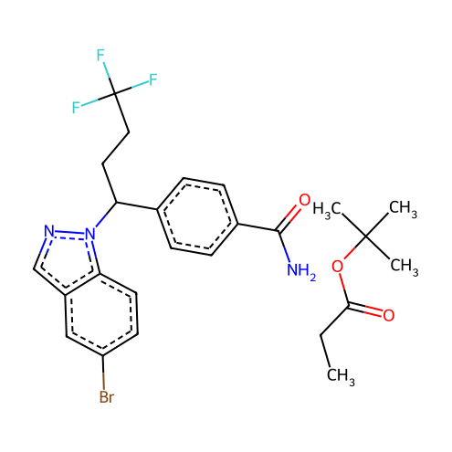 CCC(=O)OC(C)(C)C.NC(=O)c1ccc(C(CCC(F)(F)F)n2ncc3cc(Br)ccc32)cc1